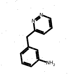 Nc1cccc(Cc2cccnn2)c1